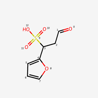 O=CCC(c1ccco1)S(=O)(=O)O